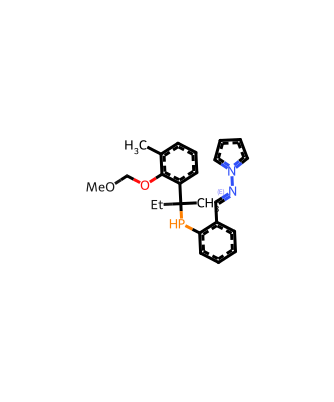 CCC(C)(Pc1ccccc1/C=N/n1cccc1)c1cccc(C)c1OCOC